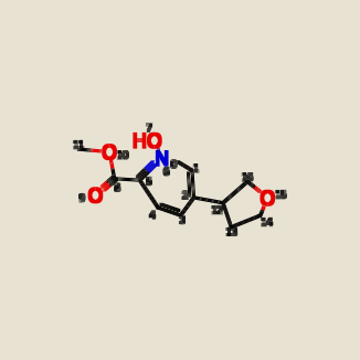 C\C=C(/C=C\C(=N\O)C(=O)OC)C1CCOC1